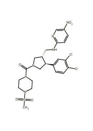 CS(=O)(=O)N1CCN(C(=O)N2C[C@H](CNc3ccc([N+](=O)[O-])cn3)[C@@H](c3ccc(Cl)c(Cl)c3)C2)CC1